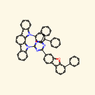 c1ccc(-c2ccc(-n3c4ccccc4c4ccc5c6ccccc6n(-c6nc(-c7ccccc7)nc(-c7ccc8c(c7)oc7c(-c9ccccc9)cccc78)n6)c5c43)cc2)cc1